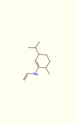 C=CNC1=CC(C(C)C)CCC1C